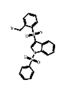 O=S(=O)(c1ccccc1CBr)c1cn(S(=O)(=O)c2ccccc2)c2ccccc12